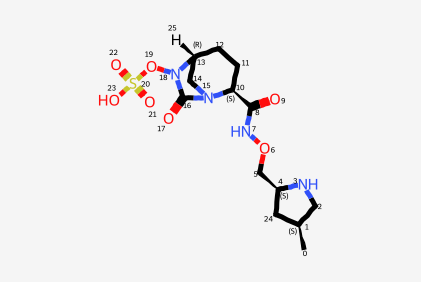 C[C@@H]1CN[C@H](CONC(=O)[C@@H]2CC[C@@H]3CN2C(=O)N3OS(=O)(=O)O)C1